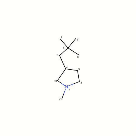 CN1CCC(CC(C)(C)C)C1